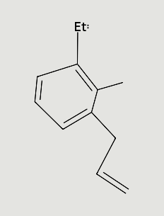 C=CCc1cccc([C]C)c1C